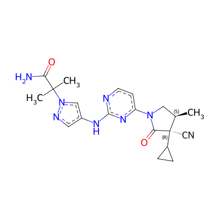 C[C@@H]1CN(c2ccnc(Nc3cnn(C(C)(C)C(N)=O)c3)n2)C(=O)[C@]1(C#N)C1CC1